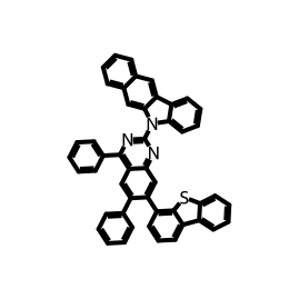 c1ccc(-c2cc3c(-c4ccccc4)nc(-n4c5ccccc5c5cc6ccccc6cc54)nc3cc2-c2cccc3c2sc2ccccc23)cc1